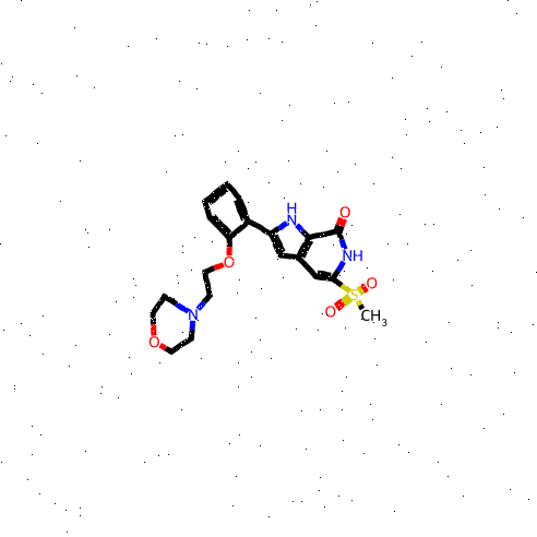 CS(=O)(=O)c1cc2cc(-c3ccccc3OCCN3CCOCC3)[nH]c2c(=O)[nH]1